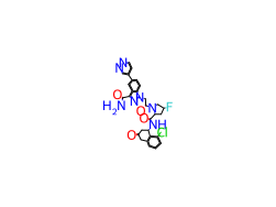 NC(=O)c1nn(CC(=O)N2CC(F)CC2C(=O)NC2CC(=O)Cc3cccc(Cl)c32)c2ccc(-c3ccnnc3)cc12